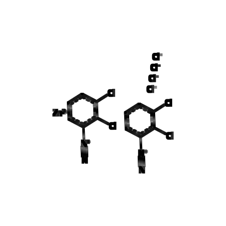 N#[N+]c1cccc(Cl)c1Cl.N#[N+]c1cccc(Cl)c1Cl.[Cl-].[Cl-].[Cl-].[Cl-].[Zn+2]